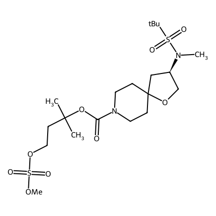 COS(=O)(=O)OCCC(C)(C)OC(=O)N1CCC2(CC1)C[C@@H](N(C)S(=O)(=O)C(C)(C)C)CO2